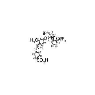 Cc1cc(OCc2c(C(C)C)cnn2-c2ccccc2OC(F)(F)F)ccc1CNCc1ccc(C(=O)O)cc1